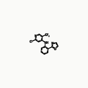 FC(F)(F)c1cnc(Cl)cc1Nc1ccccc1-c1ncco1